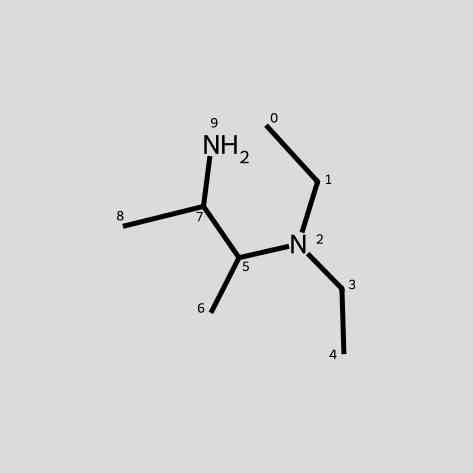 CCN(CC)C(C)C(C)N